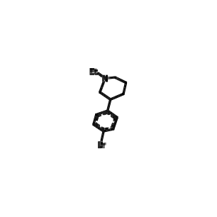 CCN1CCCC(c2ccc(Br)cc2)C1